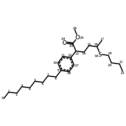 CCCCCCCCCc1ccc(C(CCC(C)SCCCC)C(=O)OC)cc1